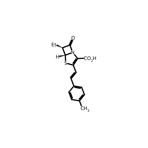 CC[C@H]1C(=O)N2C(C(=O)O)=C(C=Cc3ccc(C)cc3)S[C@H]12